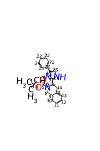 CC(C)(C)OC(=O)N1Cc2ccccc2CC1c1nc(-c2ccccc2)c[nH]1